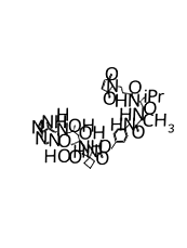 CC(C)[C@H](NC(=O)CCN1C(=O)C=CC1=O)C(=O)N[C@@H](C)C(=O)Nc1ccc(COC(=O)NC2(C(=O)N[C@@H]3[C@@H](O)[C@H](O)[C@@H](Nc4ncnc5nc[nH]c45)O[C@H]3CO)CCC2)cc1